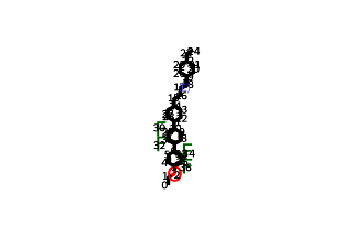 CCOc1ccc(-c2ccc(C3CCC(CC/C=C/C4CCC(CC)CC4)CC3)c(F)c2F)c(F)c1F